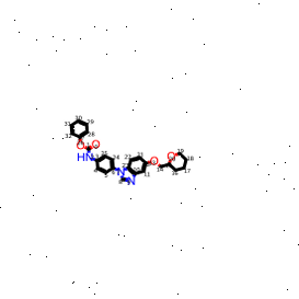 O=C(Nc1ccc(-n2cnc3cc(OCC4CCCCO4)ccc32)cc1)Oc1ccccc1